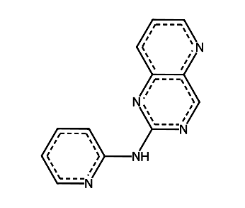 c1ccc(Nc2ncc3ncccc3n2)nc1